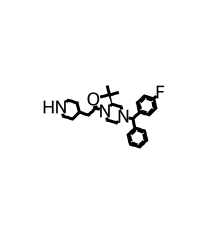 CC(C)(C)[C@H]1CN(C(c2ccccc2)c2ccc(F)cc2)CCN1C(=O)CC1CCNCC1